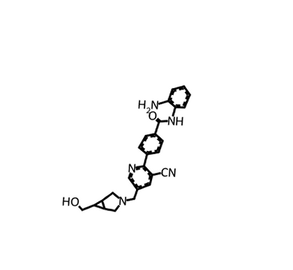 N#Cc1cc(CN2CC3C(CO)C3C2)cnc1-c1ccc(C(=O)Nc2ccccc2N)cc1